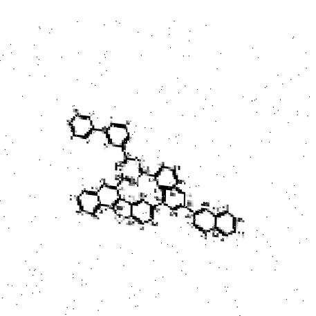 c1ccc(-c2cccc(-c3nc(-c4ccccc4)nc(-c4cc5ccccc5c5oc6ccc(-c7cccc(-c8ccc9ccccc9c8)c7)cc6c45)n3)c2)cc1